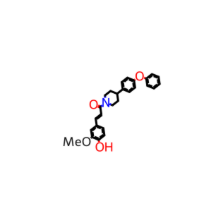 COc1cc(C=CC(=O)N2CCC(c3ccc(Oc4ccccc4)cc3)CC2)ccc1O